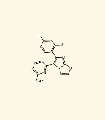 CSc1nccc(-c2c(-c3ccc(F)cc3F)nc3occn23)n1